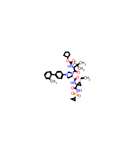 C=C[C@@H]1C[C@]1(NC(=O)[C@@H]1CN(c2ccc(-c3ccccc3C)cc2)CN1C(=O)[C@@H](NC(=O)OC1CCCC1)C(C)(C)C)C(=O)NS(=O)(=O)C1CC1